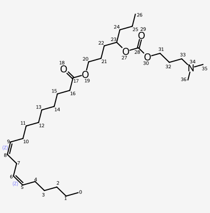 CCCCC/C=C\C/C=C\CCCCCCCC(=O)OCCCC(CCC)OC(=O)OCCCN(C)C